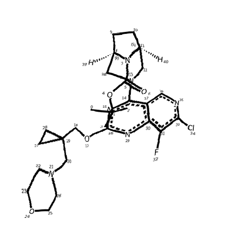 CC(C)(C)OC(=O)N1[C@@H]2CC[C@H]1CN(c1nc(OCC3(CN4CCOCC4)CC3)nc3c(F)c(Cl)ncc13)C2